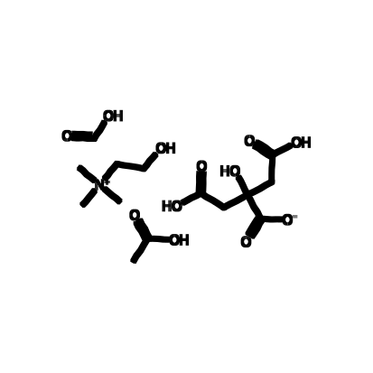 CC(=O)O.C[N+](C)(C)CCO.O=C(O)CC(O)(CC(=O)O)C(=O)[O-].O=CO